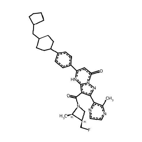 Cc1nccnc1-c1nn2c(=O)cc(-c3ccc(C4CCC(CC5CCCC5)CC4)cc3)[nH]c2c1C(=O)N1C[C@@H](CF)[C@H]1C